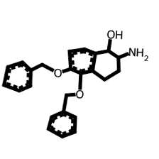 NC1CCc2c(ccc(OCc3ccccc3)c2OCc2ccccc2)C1O